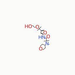 CN(C1CCOCC1)C(C)(C)C(=O)Nc1cc(C(C)(C)OCCO)co1